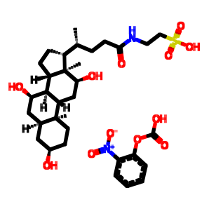 C[C@H](CCC(=O)NCCS(=O)(=O)O)[C@H]1CC[C@H]2[C@@H]3[C@H](O)C[C@@H]4C[C@H](O)CC[C@]4(C)[C@H]3C[C@H](O)[C@]12C.O=C(O)Oc1ccccc1[N+](=O)[O-]